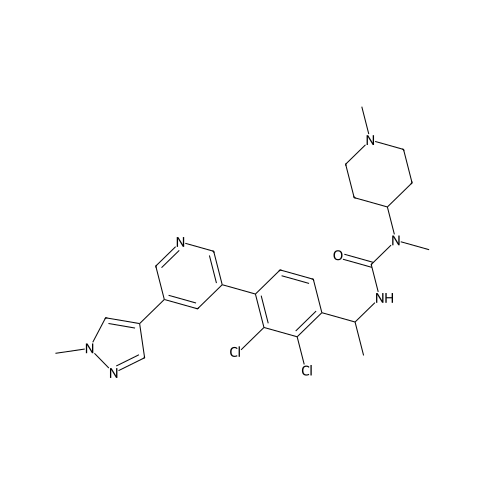 CC(NC(=O)N(C)C1CCN(C)CC1)c1ccc(-c2cncc(-c3cnn(C)c3)c2)c(Cl)c1Cl